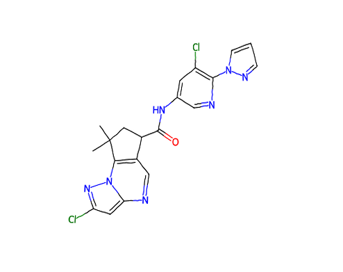 CC1(C)CC(C(=O)Nc2cnc(-n3cccn3)c(Cl)c2)c2cnc3cc(Cl)nn3c21